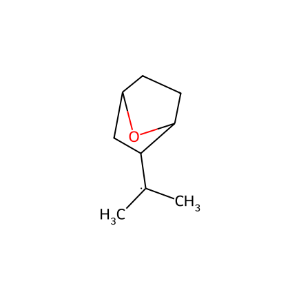 C[C](C)C1CC2CCC1O2